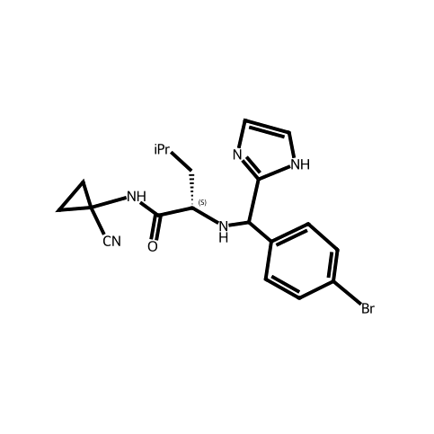 CC(C)C[C@H](NC(c1ccc(Br)cc1)c1ncc[nH]1)C(=O)NC1(C#N)CC1